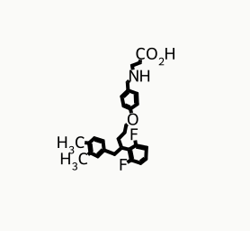 Cc1ccc(CC(CCCOc2ccc(CNCCC(=O)O)cc2)c2c(F)cccc2F)cc1C